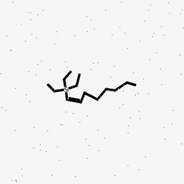 CCCCCC/C=C\[Si](CC)(CC)CC